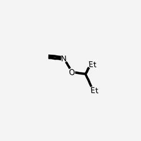 C=NOC(CC)CC